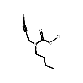 CCCCN(CC#CI)C(=O)OCl